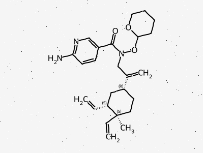 C=C[C@@H]1C[C@H](C(=C)CN(OC2CCCCO2)C(=O)c2ccc(N)nc2)CC[C@@]1(C)C=C